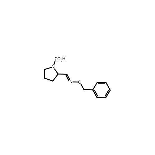 O=C(O)N1CCCC1C=NOCc1ccccc1